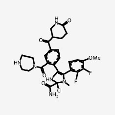 COc1ccc(C2=C(c3ccc(C(=O)C4CCC(=O)NC4)cc3C(=O)N3CCNCC3)NC(Cl)(C(N)=O)N2C)c(F)c1F